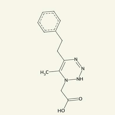 CC1=C(CCc2ccccc2)N=NNN1CC(=O)O